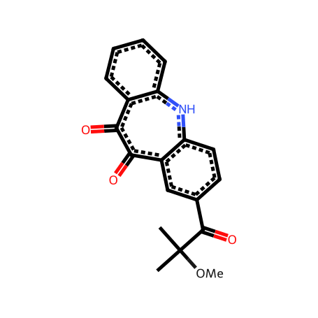 COC(C)(C)C(=O)c1ccc2[nH]c3ccccc3c(=O)c(=O)c2c1